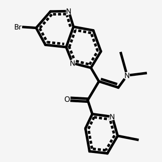 Cc1cccc(C(=O)/C(=C/N(C)C)c2ccc3ncc(Br)cc3n2)n1